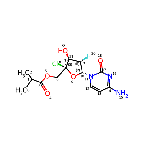 CC(C)C(=O)OC[C@@]1(Cl)O[C@@H](n2ccc(N)nc2=O)[C@H](F)[C@@H]1O